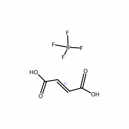 F[B-](F)(F)F.O=C(O)/C=C/C(=O)O